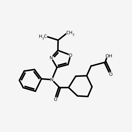 CC(C)c1nc(N(C(=O)C2CCCC(CC(=O)O)C2)c2ccccc2)co1